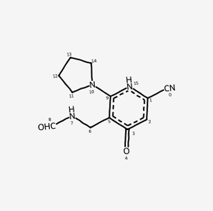 N#Cc1cc(=O)c(CNC=O)c(N2CCCC2)[nH]1